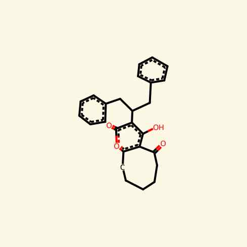 O=C1CCCCCc2oc(=O)c(C(Cc3ccccc3)Cc3ccccc3)c(O)c21